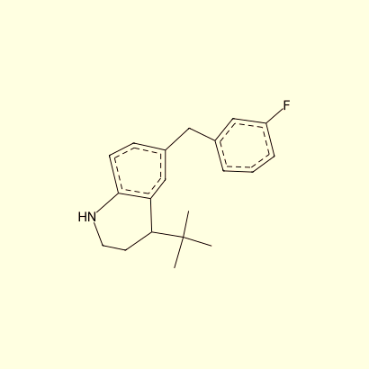 CC(C)(C)C1CCNc2ccc(Cc3cccc(F)c3)cc21